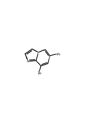 CC(C)c1cc(C(C)C)c2nccn2c1